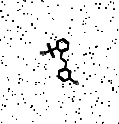 NS(=O)(=O)c1ccccc1CCc1cccc(C(F)(F)F)c1